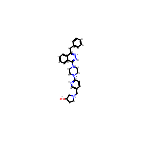 OC1CCN(Cc2ccc(N3CCN(c4nnc(Cc5ccccc5)c5ccccc45)CC3)nc2)C1